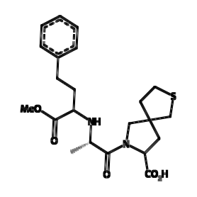 COC(=O)C(CCc1ccccc1)N[C@@H](C)C(=O)N1CC2(CCSC2)CC1C(=O)O